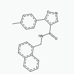 Cc1ccc(-c2oncc2C(=O)NCc2cccc3ccccc23)cc1